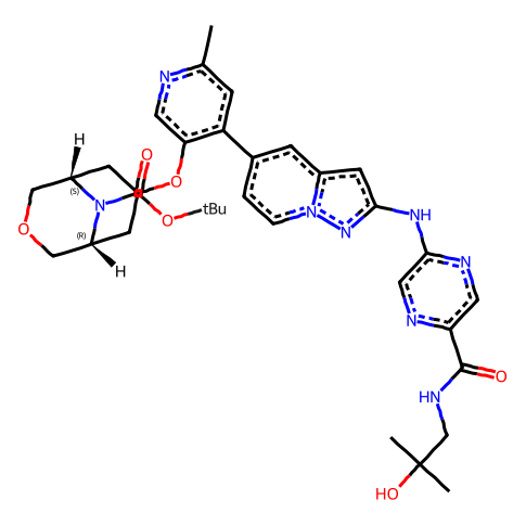 Cc1cc(-c2ccn3nc(Nc4cnc(C(=O)NCC(C)(C)O)cn4)cc3c2)c(OC2C[C@H]3COC[C@@H](C2)N3C(=O)OC(C)(C)C)cn1